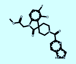 COC(=O)CN1C(=O)C2(CCN(C(=O)c3ccc4[nH]ncc4n3)CC2)c2c1ccc(F)c2Cl